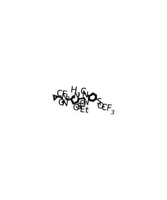 CCS(=O)(=O)c1cc(-c2noc(C3(C(F)(F)F)CC3)n2)cnc1-c1nc2cc(SOC(F)(F)F)ccc2n1C